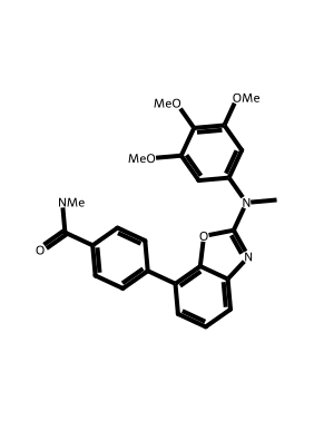 CNC(=O)c1ccc(-c2cccc3nc(N(C)c4cc(OC)c(OC)c(OC)c4)oc23)cc1